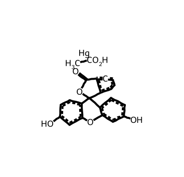 CC(=O)O.O=C1OC2(c3ccc(O)cc3Oc3cc(O)ccc32)c2ccccc21.[Hg]